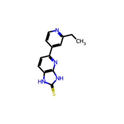 CCc1cc(-c2ccc3[nH]c(=S)[nH]c3n2)ccn1